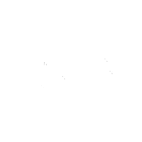 CSc1nccc(-c2ccnnc2)n1